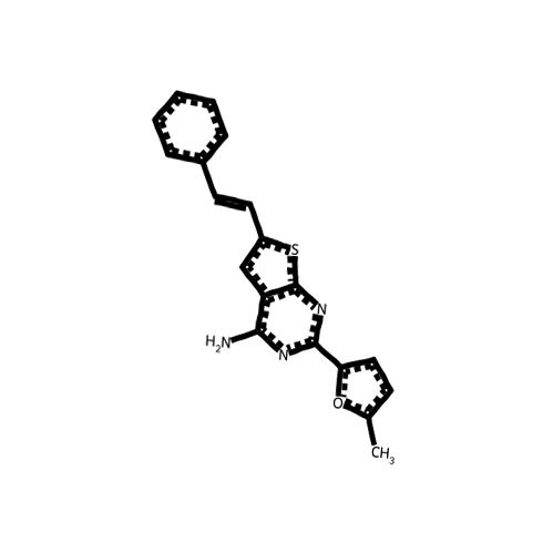 Cc1ccc(-c2nc(N)c3cc(/C=C/c4ccccc4)sc3n2)o1